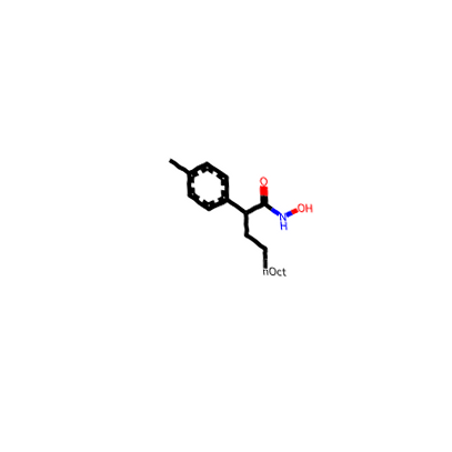 CCCCCCCCCCC(C(=O)NO)c1ccc(C)cc1